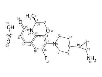 C[C@H]1COc2c(N3CCC(C4CC4N)CC3)c(F)cc3cc(C(=O)O)c(=O)n1c23